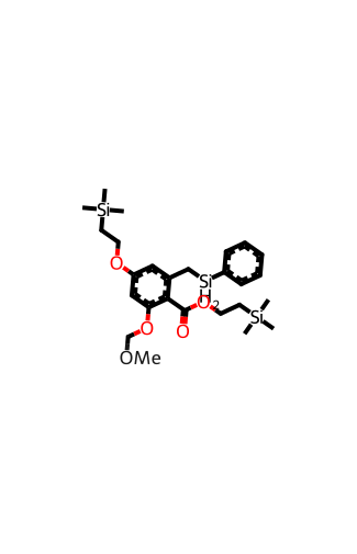 COCOc1cc(OCC[Si](C)(C)C)cc(C[SiH2]c2ccccc2)c1C(=O)OCC[Si](C)(C)C